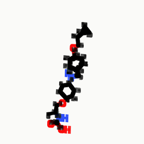 C[C@@H](CO[C@H]1CC[C@H](n2cc3ccc(OCCC4CC4)cc3n2)CC1)NC(=O)O